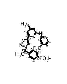 Cc1cc(Nc2cc(C(F)(F)F)ccn2)nc(-c2cn(C(C)c3ccc(C(=O)O)cc3)nn2)c1